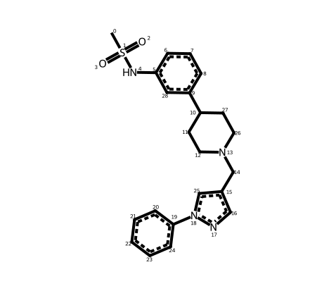 CS(=O)(=O)Nc1cccc(C2CCN(Cc3cnn(-c4ccccc4)c3)CC2)c1